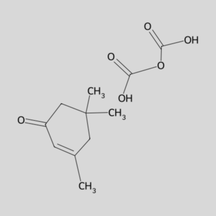 CC1=CC(=O)CC(C)(C)C1.O=C(O)OC(=O)O